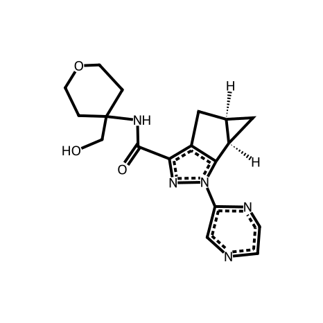 O=C(NC1(CO)CCOCC1)c1nn(-c2cnccn2)c2c1C[C@H]1C[C@@H]21